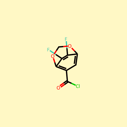 O=C(Cl)c1cc2c(F)c(F)c1OCO2